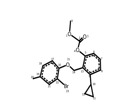 COC(=O)Oc1cccc(C2CC2)c1COc1ccc(C)cc1Br